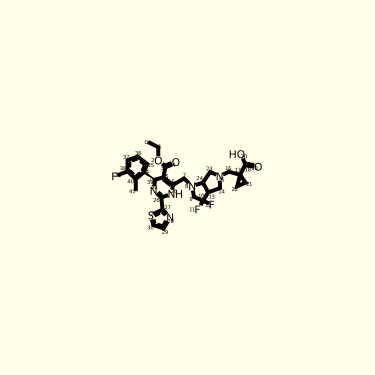 CCOC(=O)C1=C(CN2CC(F)(F)C3CN(CC4(C(=O)O)CC4)CC32)NC(c2nccs2)=N[C@H]1c1cccc(F)c1C